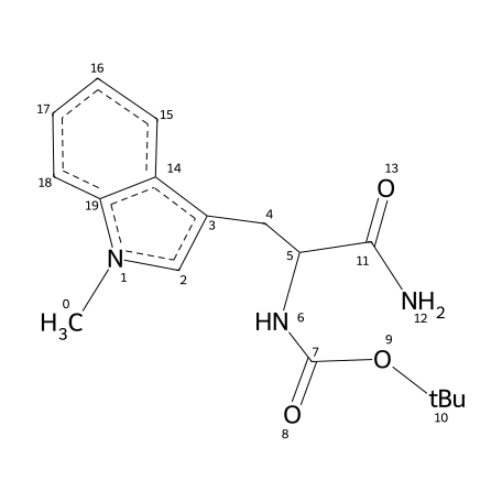 Cn1cc(CC(NC(=O)OC(C)(C)C)C(N)=O)c2ccccc21